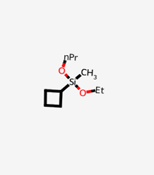 CCCO[Si](C)(OCC)C1CCC1